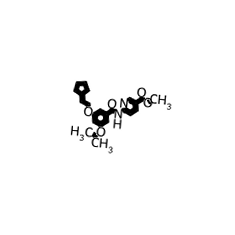 COC(=O)c1ccc(NC(=O)c2cc(OCC=C3CCCC3)cc(OC(C)C)c2)nc1